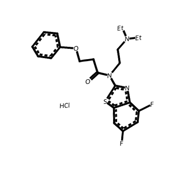 CCN(CC)CCN(C(=O)CCOc1ccccc1)c1nc2c(F)cc(F)cc2s1.Cl